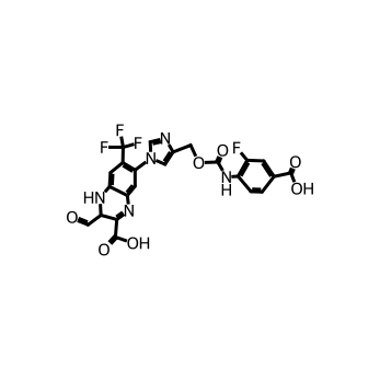 O=CC1Nc2cc(C(F)(F)F)c(-n3cnc(COC(=O)Nc4ccc(C(=O)O)cc4F)c3)cc2N=C1C(=O)O